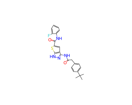 CC(C)(C)c1ccc(CC(=O)Nc2n[nH]c3sc(C(=O)Nc4ccccc4F)cc23)cc1